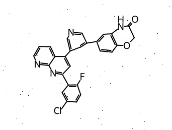 O=C1COc2ccc(-c3cncc(-c4cc(-c5cc(Cl)ccc5F)nc5ncccc45)c3)cc2N1